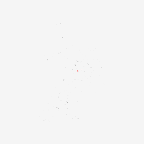 c1ccc(-c2cccc(-n3c4ccccc4c4ccc5c(c6ccccc6n5-c5cc(-n6c7ccccc7c7c6ccc6c8ccccc8n(-c8cccc(-c9ccccc9)n8)c67)cc(-n6c7ccccc7c7ccc8c9ccccc9n(-c9ccccc9)c8c76)c5)c43)n2)cc1